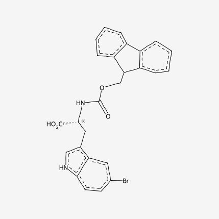 O=C(N[C@H](Cc1c[nH]c2ccc(Br)cc12)C(=O)O)OCC1c2ccccc2-c2ccccc21